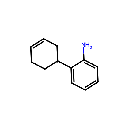 Nc1ccccc1[C]1CC=CCC1